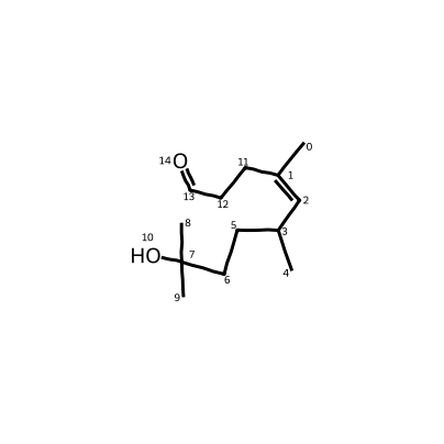 CC(=CC(C)CCC(C)(C)O)CCC=O